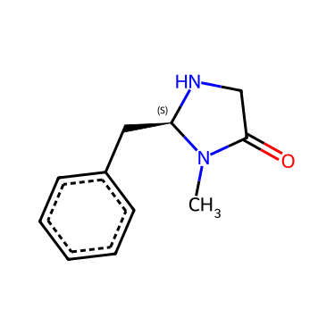 CN1C(=O)CN[C@@H]1Cc1ccccc1